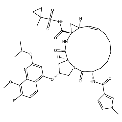 COc1c(F)ccc2c(O[C@@H]3C[C@H]4C(=O)N[C@]5(C(=O)NS(=O)(=O)C6(C)CC6)C[C@H]5/C=C\CCCCC[C@H](NC(=O)c5ccn(C)n5)C(=O)N4C3)cc(OC(C)C)nc12